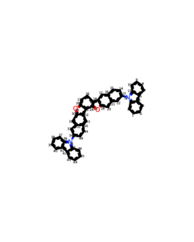 c1ccc2c(c1)c1ccccc1n2-c1ccc2cc3c(cc2c1)oc1c3ccc2oc3cc4cc(-n5c6ccccc6c6ccccc65)ccc4cc3c21